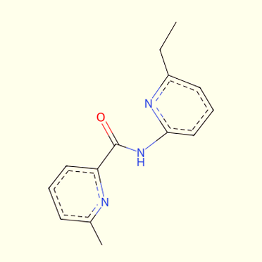 CCc1cccc(NC(=O)c2cccc(C)n2)n1